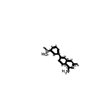 CB(O)c1cccc(-c2ccc3c(N)nc(C)cc3c2)c1